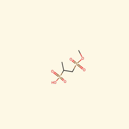 COS(=O)(=O)CC(C)S(=O)(=O)O